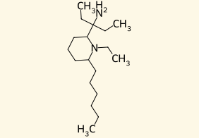 CCCCCCC1CCCC(C(N)(CC)CC)N1CC